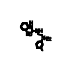 CCN(CCNC(=O)Nc1ccccc1Br)c1cccc(C)c1